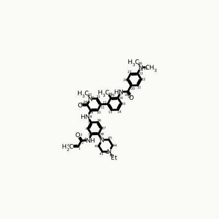 C=CC(=O)Nc1cc(Nc2cc(-c3cccc(NC(=O)c4ccc(N(C)C)cc4)c3C)cn(C)c2=O)ccc1N1CCN(CC)CC1